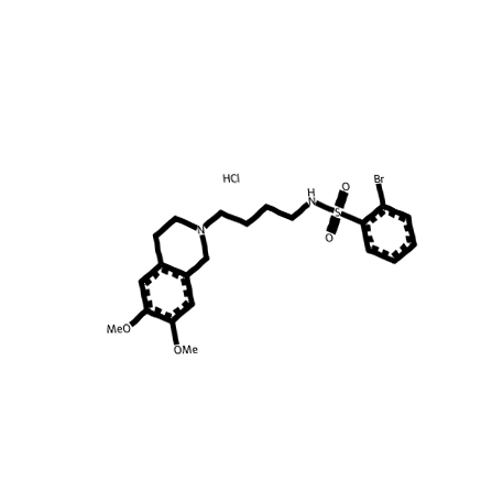 COc1cc2c(cc1OC)CN(CCCCNS(=O)(=O)c1ccccc1Br)CC2.Cl